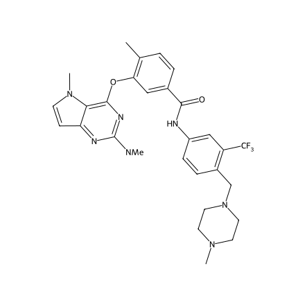 CNc1nc(Oc2cc(C(=O)Nc3ccc(CN4CCN(C)CC4)c(C(F)(F)F)c3)ccc2C)c2c(ccn2C)n1